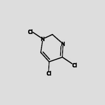 ClC1=CN(Cl)CN=C1Cl